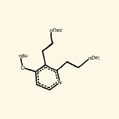 CCCCCCCCCCCCc1nccc(OCCCC)c1CCCCCCCCCCCC